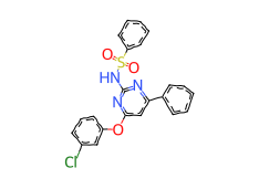 O=S(=O)(Nc1nc(Oc2cccc(Cl)c2)cc(-c2ccccc2)n1)c1ccccc1